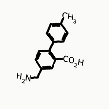 Cc1ccc(-c2ccc(CN)cc2C(=O)O)cc1